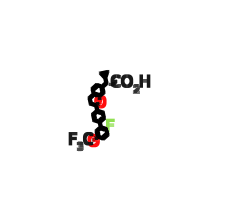 O=C(O)C[C@H](c1ccc2c(c1)OC(c1ccc(-c3cc(OC(F)(F)F)ccc3F)cc1)CC2)C1CC1